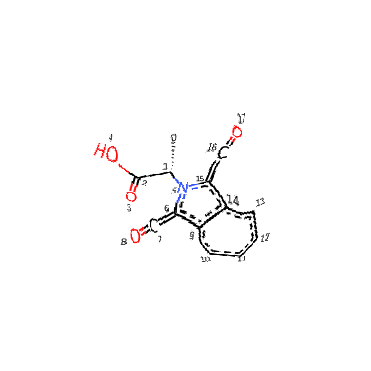 C[C@@H](C(=O)O)n1c(=C=O)c2ccccc2c1=C=O